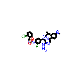 CC(C)c1nc(-c2ccc(NS(=O)(=O)Cc3ccccc3Cl)c(F)c2)c2c(N)ncc(C3=CCC(N(C)C)CC3)n12